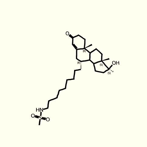 C[C@]12CCC(=O)C=C1C[C@@H](CCCCCCCCCNS(C)(=O)=O)C1C2CC[C@@]2(C)C1CC[C@]2(C)O